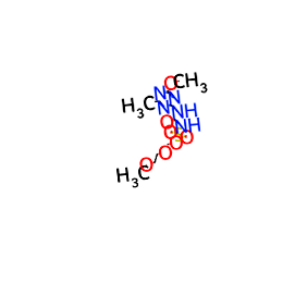 COCCOCOS(=O)(=O)NC(=O)Nc1nc(C)nc(OC)n1